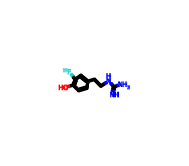 N=C(N)NCCc1ccc(O)c([18F])c1